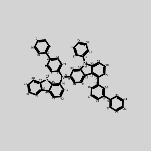 c1ccc(-c2ccc(N(c3ccc4c5c(-c6cccc(-c7ccccc7)c6)cccc5n(-c5ccccc5)c4c3)c3cccc4c3sc3ccccc34)cc2)cc1